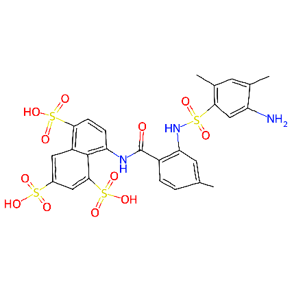 Cc1ccc(C(=O)Nc2ccc(S(=O)(=O)O)c3cc(S(=O)(=O)O)cc(S(=O)(=O)O)c23)c(NS(=O)(=O)c2cc(N)c(C)cc2C)c1